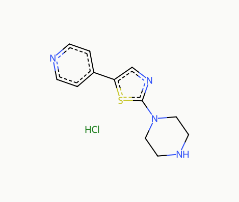 Cl.c1cc(-c2cnc(N3CCNCC3)s2)ccn1